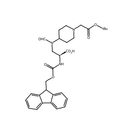 CC(C)(C)OC(=O)CN1CCC(N(C=O)C[C@H](NC(=O)OCC2c3ccccc3-c3ccccc32)C(=O)O)CC1